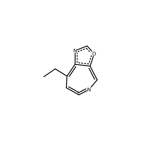 CCC1=c2ncoc2=CN=C=C1